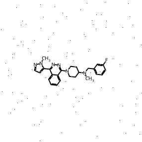 CN(Cc1cccc(F)c1)C1CCN(c2nnc(-c3ccnn3C)c3ccccc23)CC1